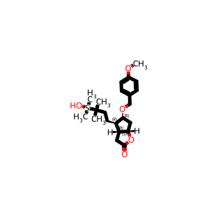 COc1ccc(CO[C@@H]2C[C@@H]3OC(=O)C[C@@H]3[C@H]2CCC(C)(C)[Si](C)(C)O)cc1